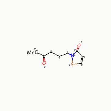 COC(=O)CCCn1sccc1=O